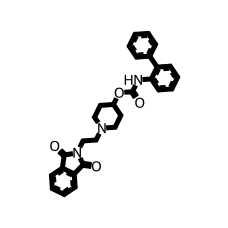 O=C(Nc1ccccc1-c1ccccc1)OC1CCN(CCN2C(=O)c3ccccc3C2=O)CC1